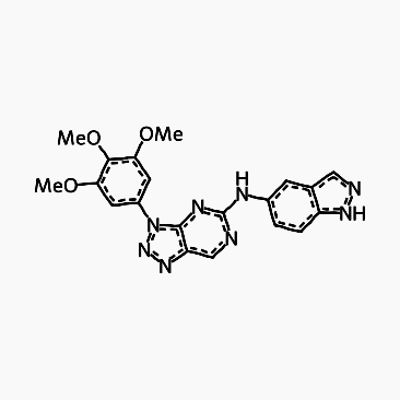 COc1cc(-n2nnc3cnc(Nc4ccc5[nH]ncc5c4)nc32)cc(OC)c1OC